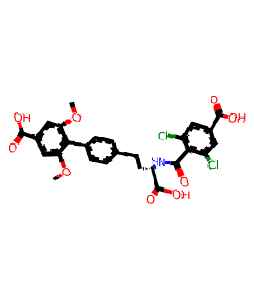 COc1cc(C(=O)O)cc(OC)c1-c1ccc(CC[C@H](NC(=O)c2c(Cl)cc(C(=O)O)cc2Cl)C(=O)O)cc1